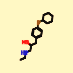 CCNCC(O)Cc1ccc(SC2CCCCC2)cc1